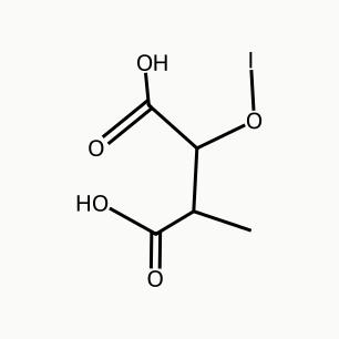 CC(C(=O)O)C(OI)C(=O)O